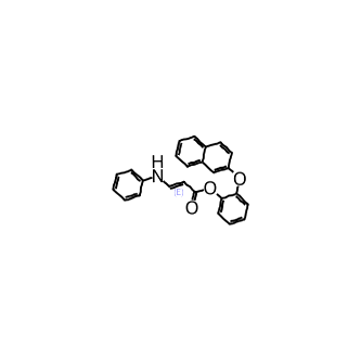 O=C(/C=C/Nc1ccccc1)Oc1ccccc1Oc1ccc2ccccc2c1